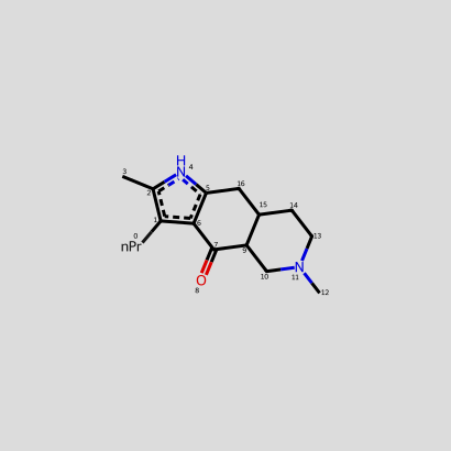 CCCc1c(C)[nH]c2c1C(=O)C1CN(C)CCC1C2